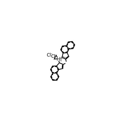 CC1=Cc2c(ccc3ccccc23)[CH]1[Hf+2]1([CH]2C(C)=Cc3c2ccc2ccccc32)[CH2][CH2]1.[Cl-].[Cl-]